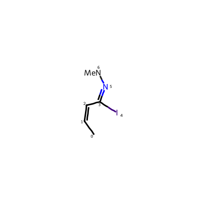 C/C=C\C(I)=N/NC